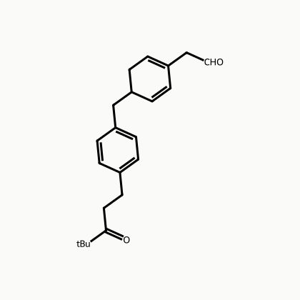 CC(C)(C)C(=O)CCc1ccc(CC2C=CC(CC=O)=CC2)cc1